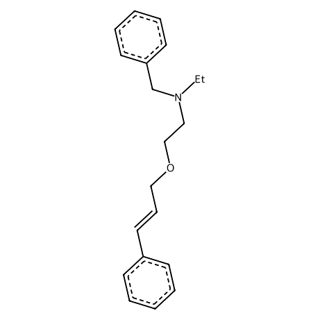 CCN(CCOCC=Cc1ccccc1)Cc1ccccc1